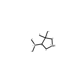 CN(C)C1CNCC1(C)C